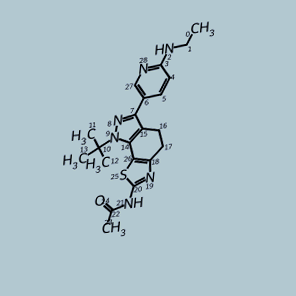 CCNc1ccc(-c2nn(C(C)(C)C)c3c2CCc2nc(NC(C)=O)sc2-3)cn1